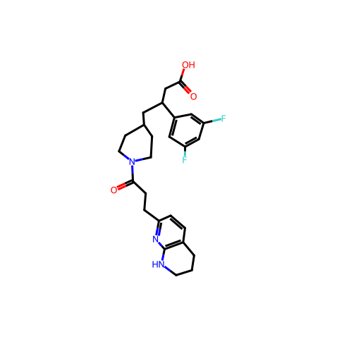 O=C(O)CC(CC1CCN(C(=O)CCc2ccc3c(n2)NCCC3)CC1)c1cc(F)cc(F)c1